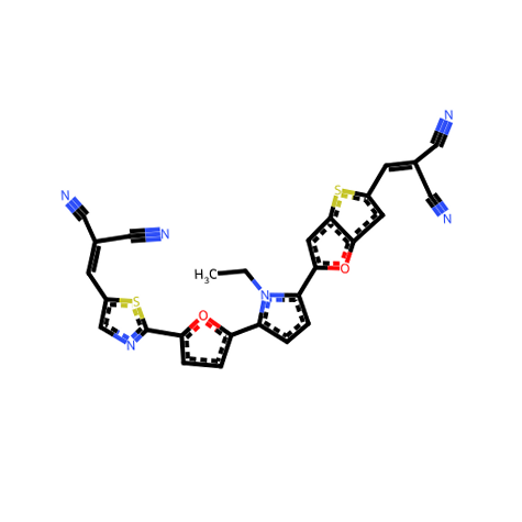 CCn1c(-c2ccc(-c3ncc(C=C(C#N)C#N)s3)o2)ccc1-c1cc2sc(C=C(C#N)C#N)cc2o1